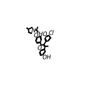 CC1=C(c2ccc(Cl)c(O)c2)C(c2ccc(OCC(C)N3CCC(C)C3)cc2)Oc2ccc(O)cc21